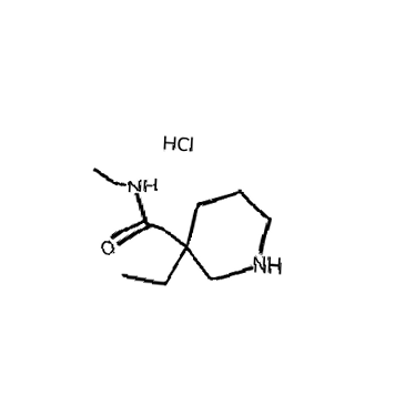 CCC1(C(=O)NC)CCCNC1.Cl